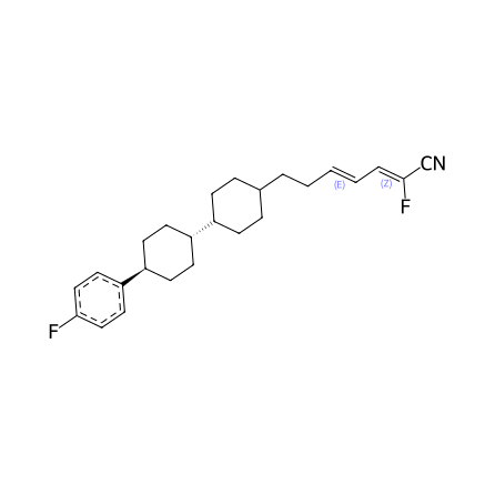 N#C/C(F)=C/C=C/CCC1CCC([C@H]2CC[C@H](c3ccc(F)cc3)CC2)CC1